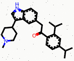 CC(C)c1ccc(C(=O)Cc2ccc3[nH]cc(C4CCN(C)CC4)c3c2)c(C(C)C)c1